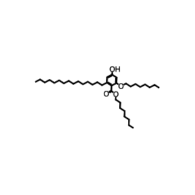 CCCCCCCCCCCCCCCc1cc(O)cc(OCCCCCCCC)c1C(=O)OCCCCCCCC